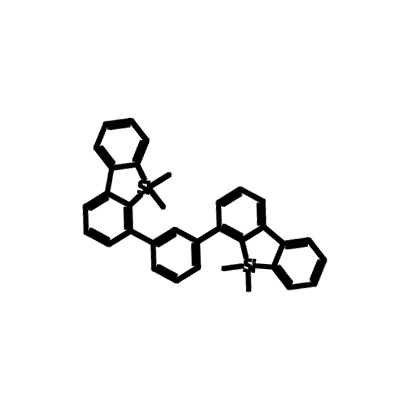 C[Si]1(C)c2ccccc2-c2cccc(-c3cccc(-c4cccc5c4[Si](C)(C)c4ccccc4-5)c3)c21